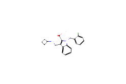 O=C(O)c1c(CNC2CCC2)c2ccccc2n1Cc1ccccc1F